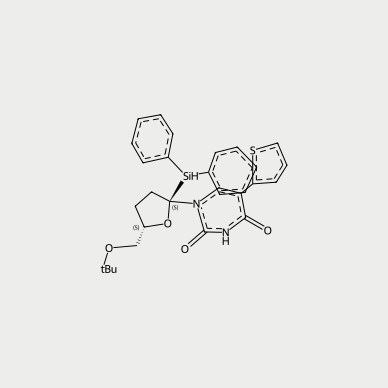 CC(C)(C)OC[C@@H]1CC[C@@](n2cc(-c3cccs3)c(=O)[nH]c2=O)([SiH](c2ccccc2)c2ccccc2)O1